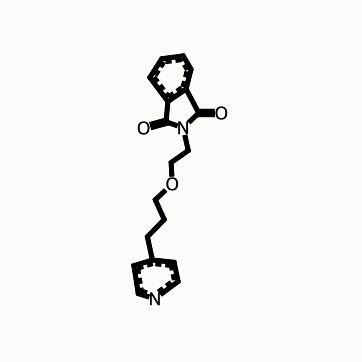 O=C1c2ccccc2C(=O)N1CCOCCCc1ccncc1